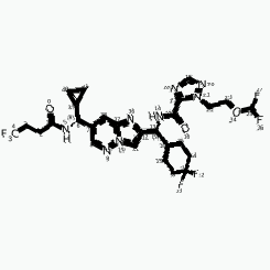 O=C(CCC(F)(F)F)N[C@@H](c1cnn2cc([C@@H](NC(=O)c3ncnn3CCOC(F)F)C3CCC(F)(F)CC3)nc2c1)C1CC1